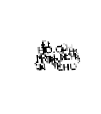 CCSC(=O)C1=C(CN2CCN(C=O)[C@H](CN(C)CC(C)(C)C(=O)O)C2)NC(c2nccs2)=NC1